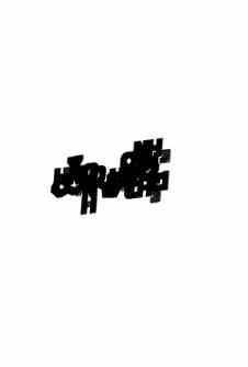 C[C@H](Nc1cc(Cl)cnc1C(N)=O)c1ccc(C(=O)N[C@@H](CC2CCCC2)C(=O)NC2CC2)s1